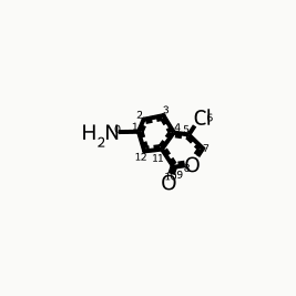 Nc1ccc2c(Cl)coc(=O)c2c1